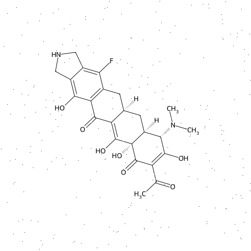 CC(=O)C1=C(O)[C@@H](N(C)C)[C@@H]2C[C@@H]3Cc4c(F)c5c(c(O)c4C(=O)C3=C(O)[C@]2(O)C1=O)CNC5